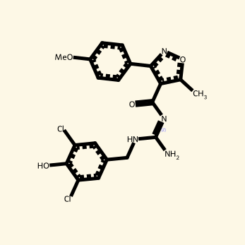 COc1ccc(-c2noc(C)c2C(=O)/N=C(/N)NCc2cc(Cl)c(O)c(Cl)c2)cc1